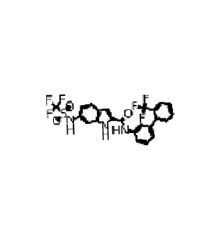 O=C(Nc1cccc(-c2ccccc2C(F)(F)F)c1)c1cc2ccc(NS(=O)(=O)C(F)(F)F)cc2[nH]1